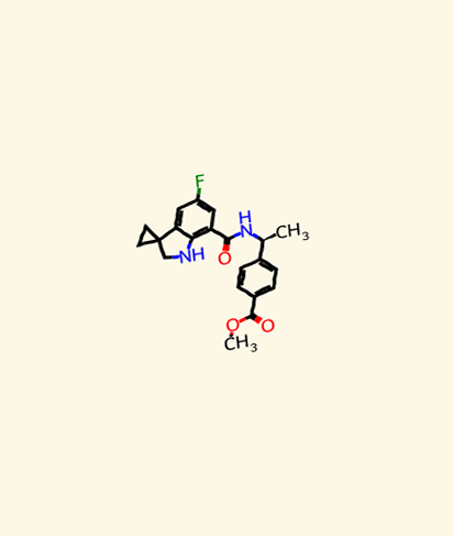 COC(=O)c1ccc([C@H](C)NC(=O)c2cc(F)cc3c2NCC32CC2)cc1